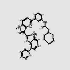 O=C(CC1CCCCC1)Nc1cccc(-c2ccc3[nH]nc(-c4nc5c(-c6ccccn6)cncc5[nH]4)c3n2)c1